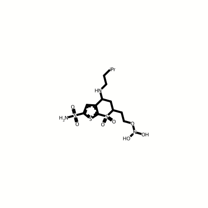 CC(C)CCNC1CC(CCON(O)O)S(=O)(=O)c2sc(S(N)(=O)=O)cc21